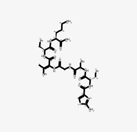 CCC/C(C)=C(\NC(=O)CNC(=O)C(NC(=O)[C@H](CC(C)C)NC(=O)c1csc(N)n1)C(C)CC)C(=O)N[C@@H](CC(C)C)C(=O)N[C@@H](CCCN)C(N)=O